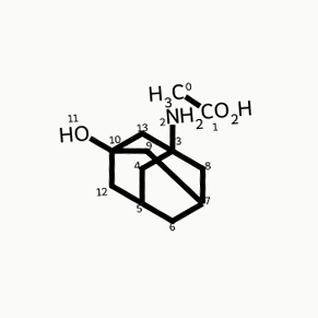 CC(=O)O.NC12CC3CC(C1)CC(O)(C3)C2